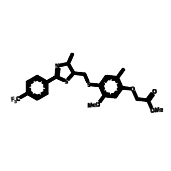 COC(=O)COc1cc(OC)c(SCC2SC(c3ccc(C(F)(F)F)cc3)=NC2C)cc1C